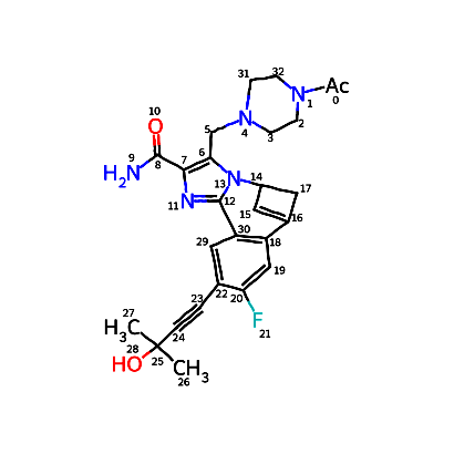 CC(=O)N1CCN(Cc2c(C(N)=O)nc3n2C2C=C(C2)c2cc(F)c(C#CC(C)(C)O)cc2-3)CC1